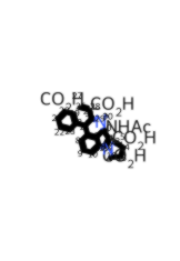 CC(=O)NC1(C(=CC(=O)O)C(=O)O)c2c(cccc2N2CCCC2)C(c2ccccc2)C(C(=CC(=O)O)C(=O)O)N1C